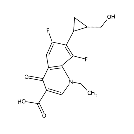 CCn1cc(C(=O)O)c(=O)c2cc(F)c(C3CC3CO)c(F)c21